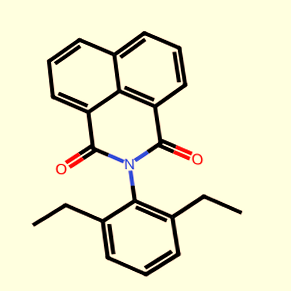 CCc1cccc(CC)c1N1C(=O)c2cccc3cccc(c23)C1=O